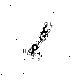 CCCc1cn2c(nc1=O)O[C@H](COc1ccc(C(C)(C)CC)cc1)C2